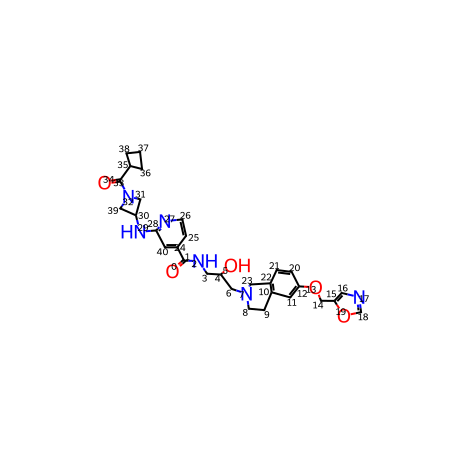 O=C(NCC(O)CN1CCc2cc(OCc3cnco3)ccc2C1)c1ccnc(NC2CN(C(=O)C3CCC3)C2)c1